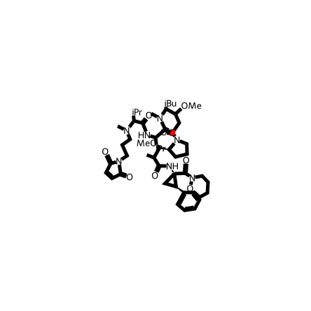 CCC(C)C(C(CC(=O)N1CCC[C@H]1C(OC)C(C)C(=O)N[C@@]1(C(=O)N2CCCCO2)C[C@@H]1c1ccccc1)OC)N(C)C(=O)C(NC(=O)C(C(C)C)N(C)CCCN1C(=O)C=CC1=O)C(C)C